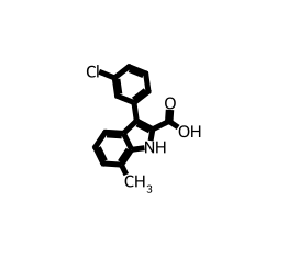 Cc1cccc2c(-c3cccc(Cl)c3)c(C(=O)O)[nH]c12